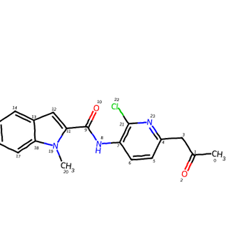 CC(=O)Cc1ccc(NC(=O)c2cc3ccccc3n2C)c(Cl)n1